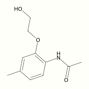 CC(=O)Nc1ccc(C)cc1OCCO